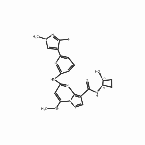 CNc1cc(Nc2cccc(-c3cn(C)nc3F)n2)nc2c(C(=O)N[C@@H]3CC[C@@H]3O)cnn12